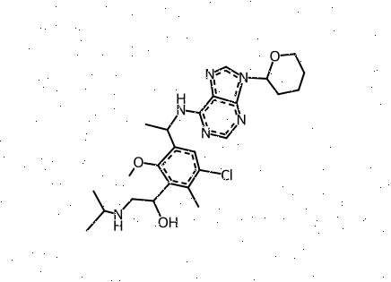 COc1c(C(C)Nc2ncnc3c2ncn3C2CCCCO2)cc(Cl)c(C)c1C(O)CNC(C)C